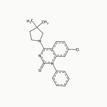 CC1(C)CCN(c2nc(=O)n(-c3ccccc3)c3cc(Cl)ccc23)C1